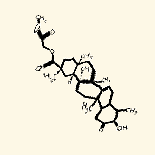 COC(=O)COC(=O)[C@]1(C)CC[C@]2(C)CC[C@]3(C)C4=CC=C5C(C)C(O)C(=O)CC5[C@]4(C)CC[C@@]3(C)[C@@H]2C1